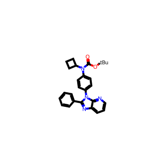 CC(C)(C)OC(=O)N(c1ccc(-n2c(-c3ccccc3)nc3cccnc32)cc1)C1CCC1